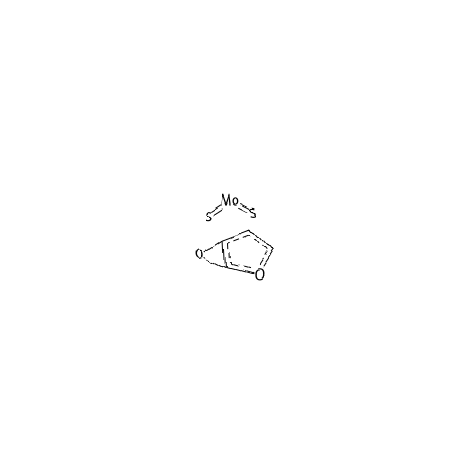 [S]=[Mo]=[S].c1cc2c(o1)O2